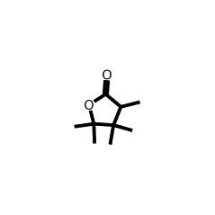 CC1C(=O)OC(C)(C)C1(C)C